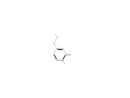 COc1c[c]c(CCO)cc1OC